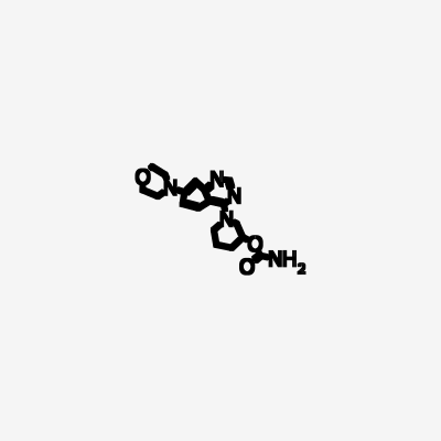 NC(=O)OC1CCCN(c2ncnc3cc(N4CCOCC4)ccc23)C1